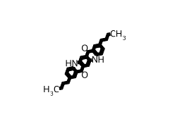 CCCCc1ccc2[nH]c3cc4c(=O)c5cc(CCCC)ccc5[nH]c4cc3c(=O)c2c1